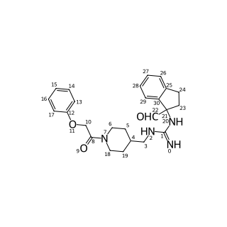 N=C(NCC1CCN(C(=O)COc2ccccc2)CC1)NC1(C=O)CCc2ccccc21